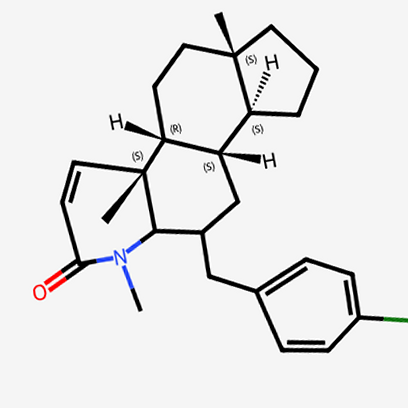 CN1C(=O)C=C[C@@]2(C)C1C(Cc1ccc(Cl)cc1)C[C@@H]1[C@H]2CC[C@]2(C)CCC[C@@H]12